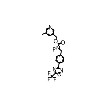 Cc1cncc(COC(=O)N(F)Cc2ccc(-c3noc(C(F)(F)F)n3)cc2)c1